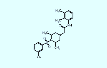 Cc1cccc(NC(=O)CN2CC(C)N(S(=O)(=O)c3cccc(C#N)c3)C(C)C2)c1C